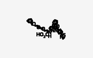 NC(Cc1ccc(-c2nccs2)cc1)(c1cccc(NC(CCOCCOCCOCc2ccccc2)C(=O)O)n1)S(=O)(=O)c1ccccn1